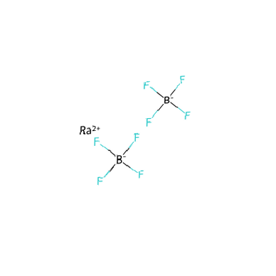 F[B-](F)(F)F.F[B-](F)(F)F.[Ra+2]